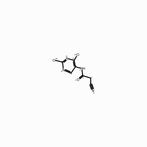 N#CCC(=O)Nc1cnc(Cl)nc1Cl